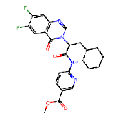 COC(=O)c1ccc(NC(=O)C(CC2CCCCC2)n2cnc3cc(F)c(F)cc3c2=O)nc1